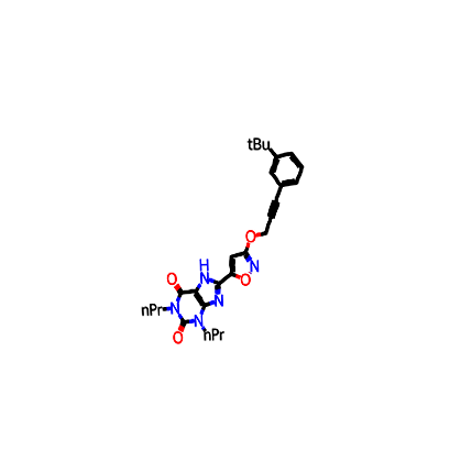 CCCn1c(=O)c2[nH]c(-c3cc(OCC#Cc4cccc(C(C)(C)C)c4)no3)nc2n(CCC)c1=O